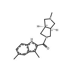 Cc1ccc2[nH]c(C(=O)N3C[C@H]4CN(C)C[C@H]4C3)c(C)c2c1